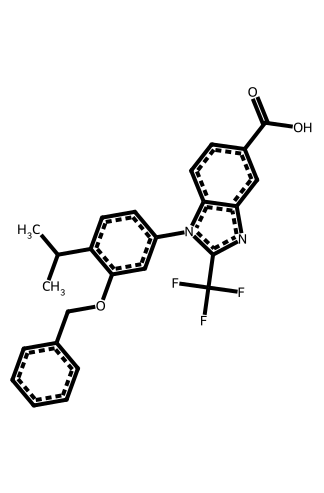 CC(C)c1ccc(-n2c(C(F)(F)F)nc3cc(C(=O)O)ccc32)cc1OCc1ccccc1